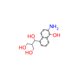 Nc1ccc2c(C(O)C(CO)CO)cccc2c1O